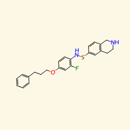 Fc1cc(OCCCc2ccccc2)ccc1NSc1ccc2c(c1)CCNC2